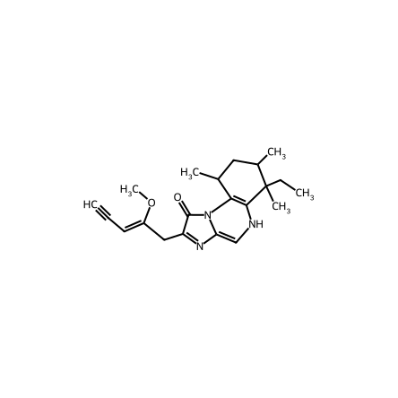 C#C/C=C(/Cc1nc2c[nH]c3c(n-2c1=O)C(C)CC(C)C3(C)CC)OC